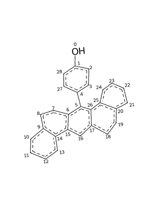 Oc1ccc(-c2c3ccc4ccccc4c3cc3ccc4ccccc4c23)cc1